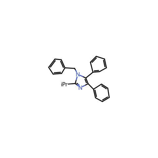 CC(C)c1nc(-c2ccccc2)c(-c2ccccc2)n1Cc1ccccc1